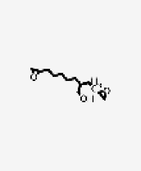 C1CO1.CCC(CO)CCCCCC1CO1